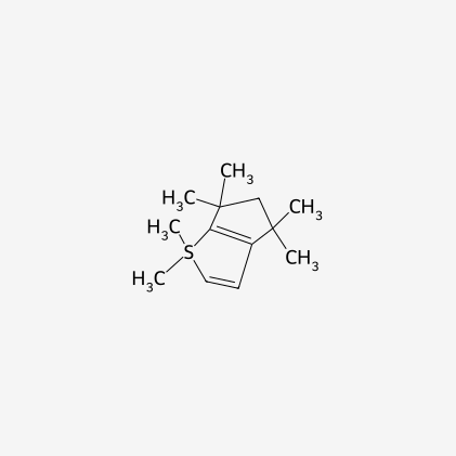 CC1(C)CC(C)(C)C2=C1C=CS2(C)C